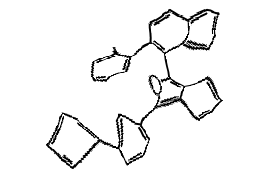 c1ccc(-c2cccc(-c3oc(-c4c(-c5ccccc5)ccc5ccccc45)c4ccccc34)c2)cc1